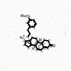 COc1cccc(CCC[C@]23CC[C@H]4[C@@H](C=CC5=CC(=O)CC[C@@]54C)[C@@H]2CC[C@@H]3C(C)=O)c1